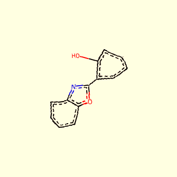 Oc1c[c]ccc1-c1nc2ccccc2o1